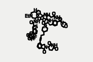 CCN1CC[C@H]2CC[C@@H](C(=O)N[C@@H](CCC(N)=O)C(=O)N[C@@H](Cc3ccc(C(=O)N4CCOCC4)cc3)C(=O)N3CCC(CCC#Cc4cccc5c4CN(C4CCC(=O)NC4=O)C5=O)CC3)N2C(=O)[C@@H](NC(=O)c2cc3cc(C(F)(F)P(=O)(O)O)ccc3s2)C1